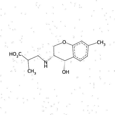 Cc1ccc2c(c1)OC[C@@H](NCC(C)C(=O)O)[C@H]2O